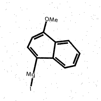 COc1cc[c]([Mg][I])c2ccccc12